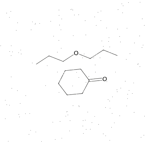 CCCOCCC.O=C1CCCCC1